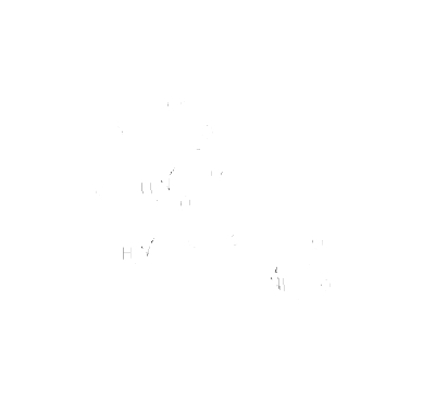 CSCC[C@H](N)C(=O)[O-].CSCC[C@H](N)C(=O)[O-].CSCC[C@H](N)C(=O)[O-].[Cr+3]